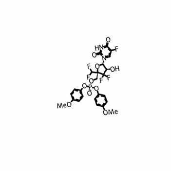 COc1ccc(OP(=O)(OC[C@@]2(C(F)F)O[C@@H](n3cc(F)c(=O)[nH]c3=O)[C@@H](O)C2(F)F)Oc2ccc(OC)cc2)cc1